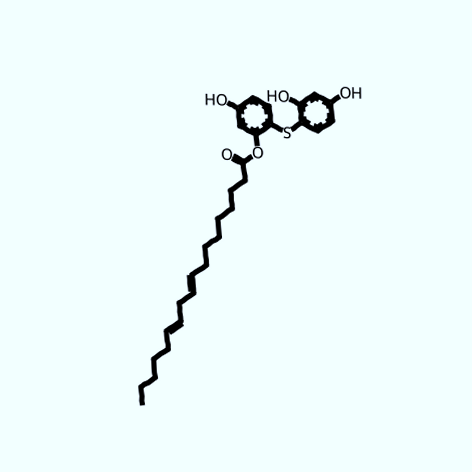 CCCCCC=CCC=CCCCCCCCC(=O)Oc1cc(O)ccc1Sc1ccc(O)cc1O